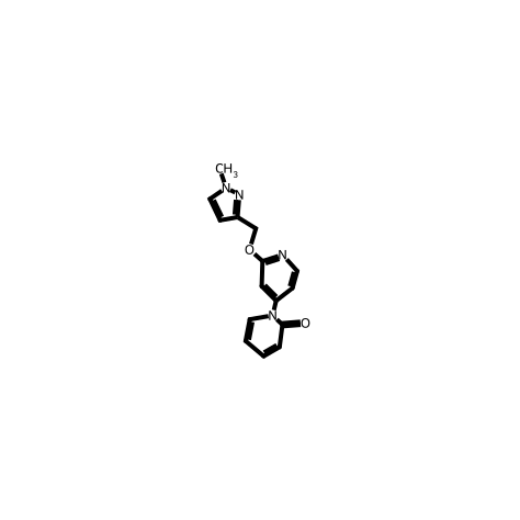 Cn1ccc(COc2cc(-n3ccccc3=O)ccn2)n1